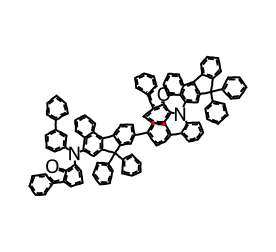 c1ccc(-c2cccc(N(c3cc4c(c5ccccc35)-c3ccc(-c5ccc(-c6ccccc6N(c6cc7c(c8ccccc68)-c6ccccc6C7(c6ccccc6)c6ccccc6)c6cccc7c6oc6ccccc67)cc5)cc3C4(c3ccccc3)c3ccccc3)c3cccc4c3oc3ccccc34)c2)cc1